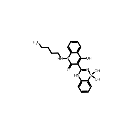 CCCCCNn1c(=O)c(C2=NS(O)(O)c3ccccc3N2)c(O)c2ccccc21